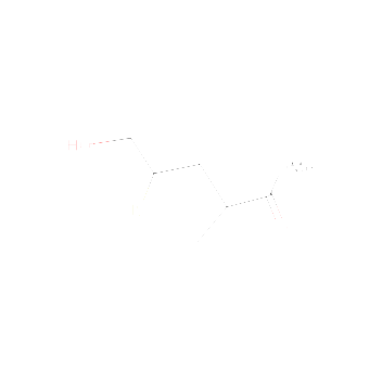 COC(=O)C(C)CC(S)CO